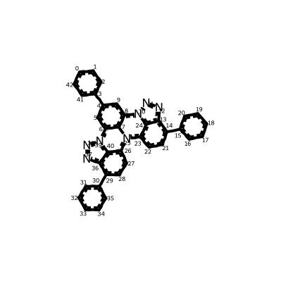 c1ccc(-c2cc3c4c(c2)n2nnc5c(-c6ccccc6)ccc(c52)n-4c2ccc(-c4ccccc4)c4nnn3c42)cc1